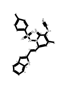 Cc1ccc(S(=O)(=O)On2c(/C=C/c3cc4ccccc4o3)cc(C)c(SC#N)c2=O)cc1